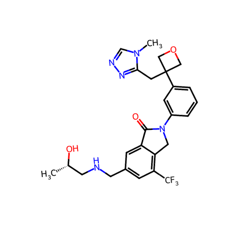 C[C@H](O)CNCc1cc2c(c(C(F)(F)F)c1)CN(c1cccc(C3(Cc4nncn4C)COC3)c1)C2=O